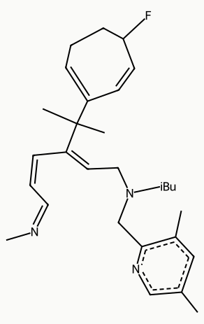 CCC(C)N(C/C=C(/C=C\C=N/C)C(C)(C)C1=CCCC(F)C=C1)Cc1ncc(C)cc1C